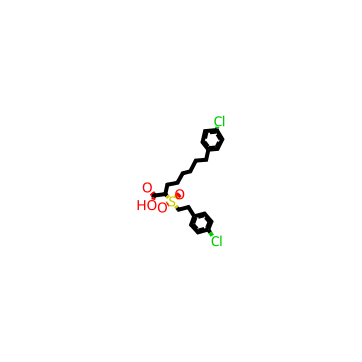 O=C(O)C(CCCCCCc1ccc(Cl)cc1)S(=O)(=O)CCc1ccc(Cl)cc1